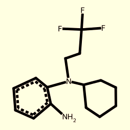 Nc1ccccc1N(CCC(F)(F)F)C1CCCCC1